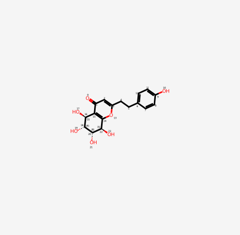 O=c1cc(CCc2ccc(O)cc2)oc2c1[C@H](O)[C@@H](O)[C@@H](O)[C@@H]2O